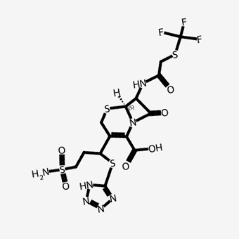 NS(=O)(=O)CCC(Sc1nnn[nH]1)C1=C(C(=O)O)N2C(=O)C(NC(=O)CSC(F)(F)F)[C@@H]2SC1